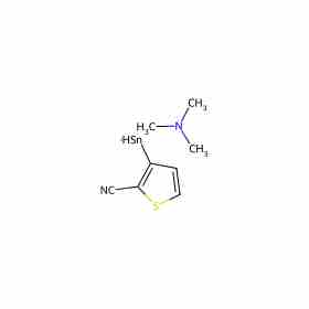 CN(C)C.N#Cc1scc[c]1[SnH]